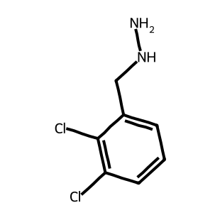 NNCc1cccc(Cl)c1Cl